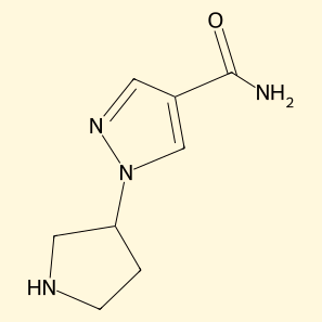 NC(=O)c1cnn(C2CCNC2)c1